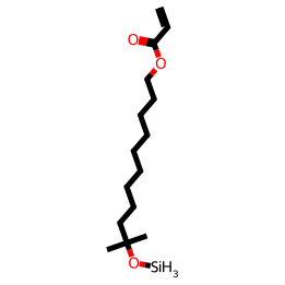 C=CC(=O)OCCCCCCCCCC(C)(C)O[SiH3]